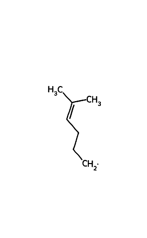 [CH2]CCC=C(C)C